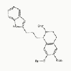 CCOc1cc2c(cc1OC)CCN(C=O)[C@H]2CCCc1cc2ccccc2[nH]1